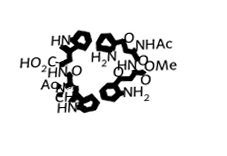 CC(=O)N(C)[C@@H](Cc1c[nH]c2ccccc12)C(=O)N[C@@H](Cc1c[nH]c2ccccc12)C(=O)O.COC(=O)C(CC(=O)c1ccccc1N)NC(=O)C(CC(=O)c1ccccc1N)NC(C)=O